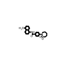 Cc1cccc2c(NC(=O)c3ccc(N4CCCCCS4(=O)=O)cc3)cccc12